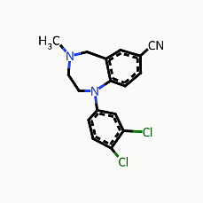 CN1CCN(c2ccc(Cl)c(Cl)c2)c2ccc(C#N)cc2C1